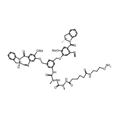 C=Nc1cc(OCc2cc(COc3cc4c(cc3OC)C(=O)N3c5ccccc5C[C@H]3C=N4)cc(NC(=O)[C@H](C)NC(=O)[C@H](C)NC(=O)CCCCC(=O)NCCCON)c2)c(OC)cc1C(=O)N1c2ccccc2C[C@H]1C